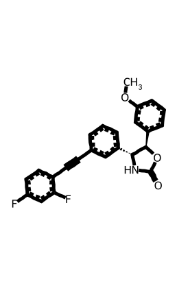 COc1cccc([C@H]2OC(=O)N[C@@H]2c2cccc(C#Cc3ccc(F)cc3F)c2)c1